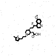 COc1ccc2nccc([C@@H](F)CC[C@@H]3CCN(CCCc4ccc(C)s4)C[C@@H]3CC(=O)O)c2c1